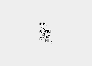 Cl.NS(=O)(=O)[C@H]1C[C@@H](N)C1